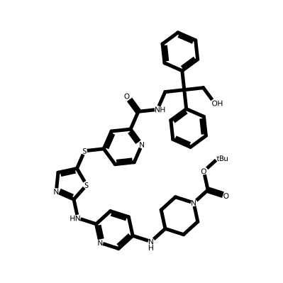 CC(C)(C)OC(=O)N1CCC(Nc2ccc(Nc3ncc(Sc4ccnc(C(=O)NCC(CO)(c5ccccc5)c5ccccc5)c4)s3)nc2)CC1